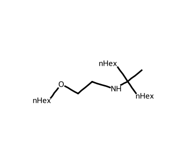 CCCCCCOCCNC(C)(CCCCCC)CCCCCC